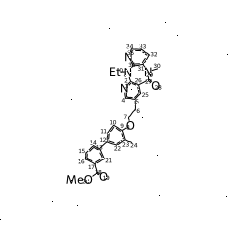 CCN1c2ncc(CCOc3ccc(-c4cccc(C(=O)OC)c4)cc3C)cc2C(=O)N(C)c2cccnc21